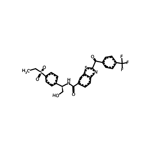 CCS(=O)(=O)c1ccc([C@H](CO)NC(=O)c2ccc3nc(C(=O)c4ccc(C(F)(F)F)cc4)sc3c2)cc1